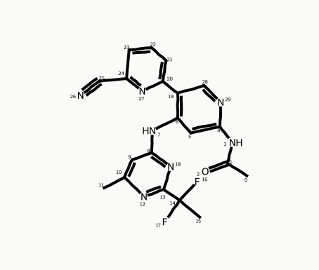 CC(=O)Nc1cc(Nc2cc(C)nc(C(C)(F)F)n2)c(-c2cccc(C#N)n2)cn1